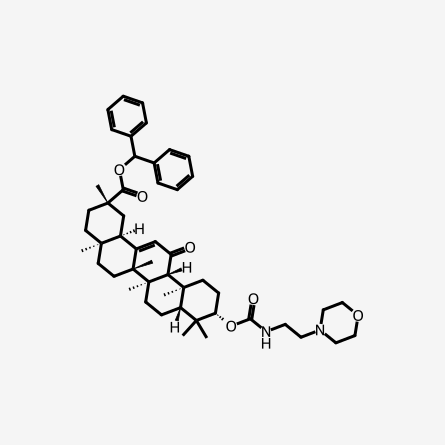 CC1(C)[C@@H](OC(=O)NCCN2CCOCC2)CC[C@]2(C)[C@H]3C(=O)C=C4[C@@H]5C[C@@](C)(C(=O)OC(c6ccccc6)c6ccccc6)CC[C@]5(C)CC[C@@]4(C)[C@]3(C)CC[C@@H]12